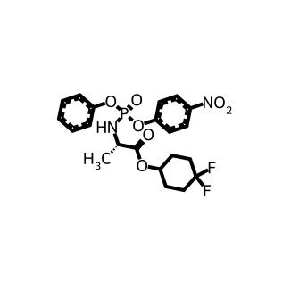 C[C@H](NP(=O)(Oc1ccccc1)Oc1ccc([N+](=O)[O-])cc1)C(=O)OC1CCC(F)(F)CC1